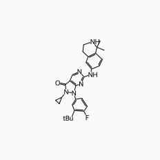 CC(C)(C)c1cc(-n2c3nc(Nc4ccc5c(c4)CCNC5(C)C)ncc3c(=O)n2C2CC2)ccc1F